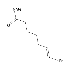 [CH2]NC(=O)CCCC/C=C/C(C)C